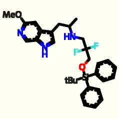 COc1cc2c(CC(C)NCC(F)(F)CO[Si](c3ccccc3)(c3ccccc3)C(C)(C)C)c[nH]c2cn1